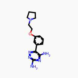 Nc1nnc(-c2cccc(OCCN3CCCC3)c2)c(N)n1